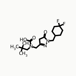 CC(C)(C)CN(CC1=NN(CC2CCC(F)(F)CC2)C(=O)C1)C(=O)O